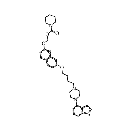 O=C(OCOc1ccc2ccc(OCCCCN3CCN(c4cccc5sccc45)CC3)cc2n1)N1CCCCC1